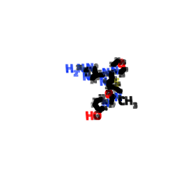 CN(Cc1cc2nc(-c3cnc(N)nc3)nc(N3CCOCC3)c2s1)C(=O)CN1CCCC(O)C1